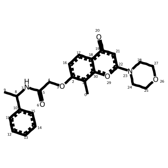 Cc1c(OCC(=O)NC(C)c2ccccc2)ccc2c(=O)cc(N3CCOCC3)oc12